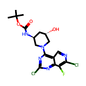 CC(C)(C)OC(=O)N[C@H]1C[C@H](O)CN(c2nc(Cl)nc3c(F)c(Cl)ncc23)C1